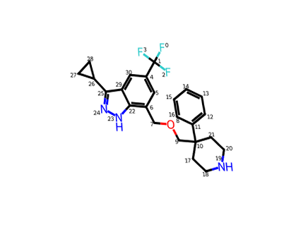 FC(F)(F)c1cc(COCC2(c3ccccc3)CCNCC2)c2[nH]nc(C3CC3)c2c1